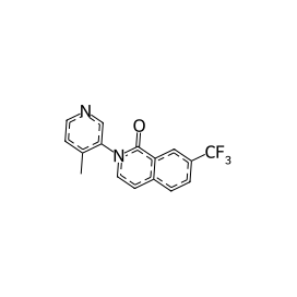 Cc1ccncc1-n1ccc2ccc(C(F)(F)F)cc2c1=O